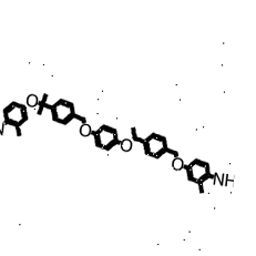 Cc1cc(OCc2ccc(C(C)Oc3ccc(OCc4ccc(C(C)(C)Oc5ccc(N)c(C)c5)cc4)cc3)cc2)ccc1N